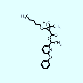 CCCCCOC1C(C(=O)OC(C)c2cccc(Oc3ccccc3)n2)C1(C)C